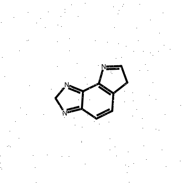 C1=Nc2c(ccc3c2=NCN=3)C1